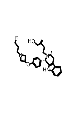 C=C(CO)CCN1[C@@H](c2ccc(OC3CN(CCCF)C3)cc2)c2[nH]c3ccccc3c2C[C@@H]1C